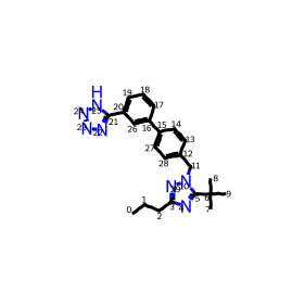 CCCc1nc(C(C)(C)C)n(Cc2ccc(-c3cccc(-c4nnn[nH]4)c3)cc2)n1